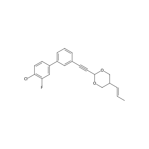 C/C=C/C1COC(C#Cc2cccc(-c3ccc(Cl)c(F)c3)c2)OC1